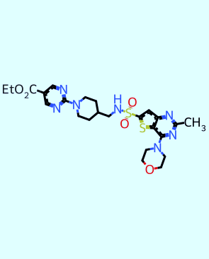 CCOC(=O)c1cnc(N2CCC(CNS(=O)(=O)c3cc4nc(C)nc(N5CCOCC5)c4s3)CC2)nc1